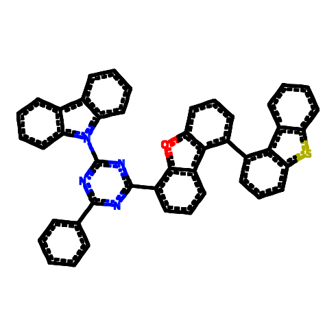 c1ccc(-c2nc(-c3cccc4c3oc3cccc(-c5cccc6sc7ccccc7c56)c34)nc(-n3c4ccccc4c4ccccc43)n2)cc1